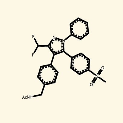 CC(=O)NCc1ccc(-c2c(C(F)F)nn(-c3ccccc3)c2-c2ccc(S(C)(=O)=O)cc2)cc1